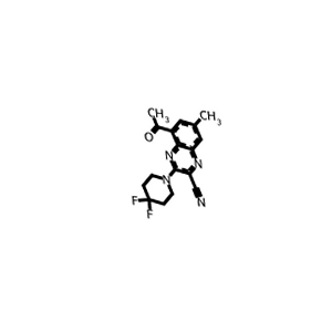 CC(=O)c1cc(C)cc2nc(C#N)c(N3CCC(F)(F)CC3)nc12